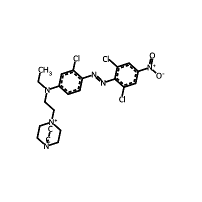 CCN(CC[N+]12CCN(CC1)CC2)c1ccc(N=Nc2c(Cl)cc([N+](=O)[O-])cc2Cl)c(Cl)c1